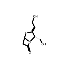 O=C1CC2O/C(=C\CO)[C@H](CO)N12